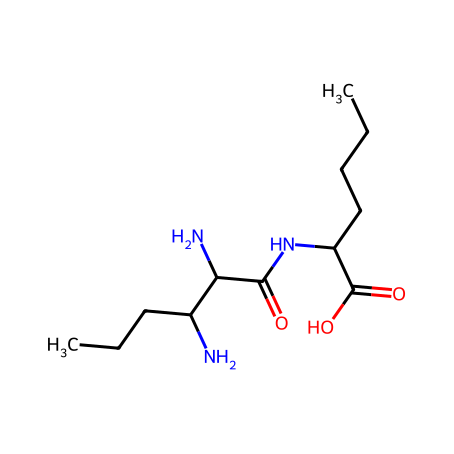 CCCCC(NC(=O)C(N)C(N)CCC)C(=O)O